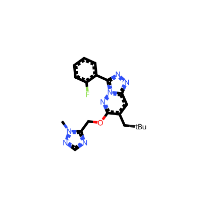 Cn1ncnc1COc1nn2c(-c3ccccc3F)nnc2cc1CC(C)(C)C